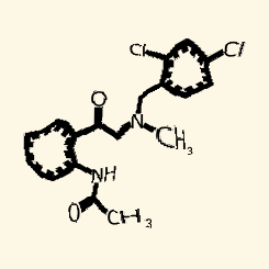 CC(=O)Nc1ccccc1C(=O)CN(C)Cc1ccc(Cl)cc1Cl